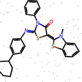 CN1C(=C2SC(=Nc3ccc(C4CCCCC4)cc3)N(c3ccccc3)C2=O)Sc2ccccc21